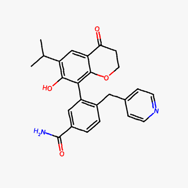 CC(C)c1cc2c(c(-c3cc(C(N)=O)ccc3Cc3ccncc3)c1O)OCCC2=O